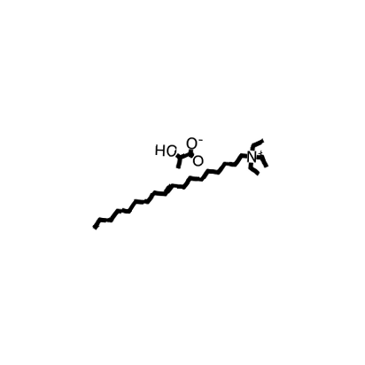 CC(O)C(=O)[O-].CCCCCCCCC=CCCCCCCCC[N+](CC)(CC)CC